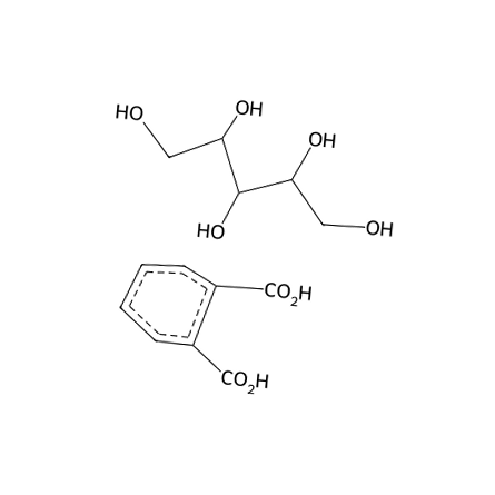 O=C(O)c1ccccc1C(=O)O.OCC(O)C(O)C(O)CO